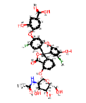 CC(=O)N[C@H]1[C@H](Oc2cccc3c2C(=O)OC32c3cc(F)c(O)cc3Oc3cc(Oc4ccc(C(=O)O)cc4O)c(F)cc32)O[C@H](CO)[C@@H](O)[C@@H]1O